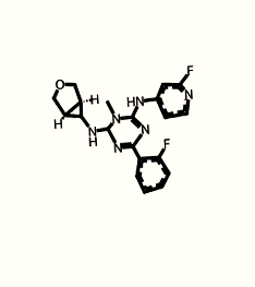 CN1C(Nc2ccnc(F)c2)=NC(c2ccccc2F)=NC1NC1[C@H]2COC[C@@H]12